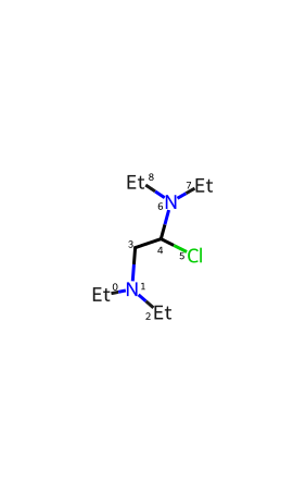 CCN(CC)CC(Cl)N(CC)CC